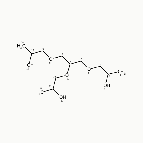 CC(O)COCC(COCC(C)O)OCC(C)O